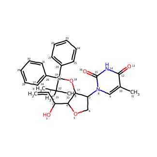 C=CC(O)C1OCC(n2cc(C)c(=O)[nH]c2=O)C1O[Si](c1ccccc1)(c1ccccc1)C(C)(C)C